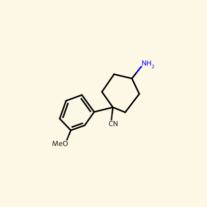 COc1cccc(C2(C#N)CCC(N)CC2)c1